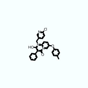 Cc1ccc(Oc2ccc3n(c2)c(=O)c(-c2ccccc2)c(O)[n+]3Cc2ccc(Cl)nc2)cc1